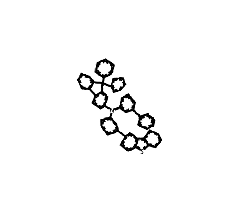 c1ccc(-c2cccc(N(c3cccc(-c4ccc5sc6ccccc6c5c4)c3)c3ccc4c(c3)C(c3ccccc3)(c3ccccc3)c3ccccc3-4)c2)cc1